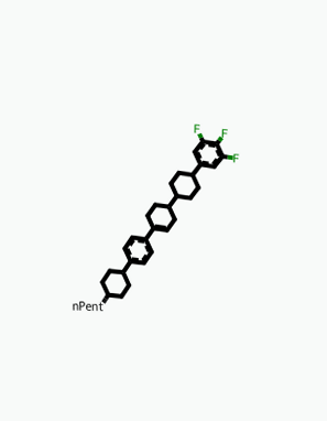 CCCCCC1CCC(c2ccc(C3=CCC(C4CCC(c5cc(F)c(F)c(F)c5)CC4)CC3)cc2)CC1